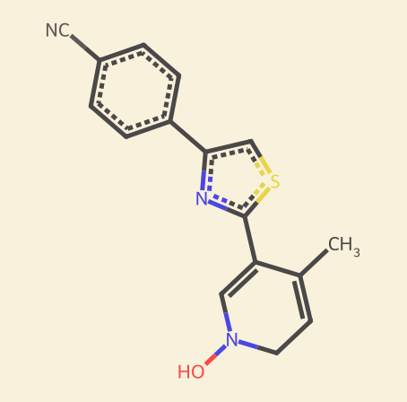 CC1=CCN(O)C=C1c1nc(-c2ccc(C#N)cc2)cs1